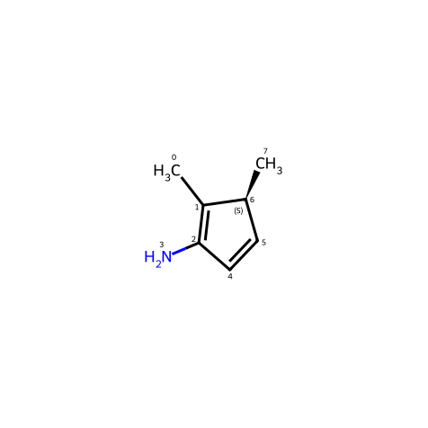 CC1=C(N)C=C[C@@H]1C